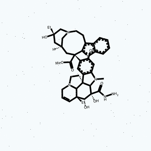 CC[C@]1(O)C[C@H]2CN(CCc3c([nH]c4ccccc34)[C@@](C(=O)OC)(c3cc4c(cc3OC)N(C)C3[C@]45CCN4CC=C[C@](CC)(C45)[C@@H](O)[C@]3(O)C(=O)NN)C2)C1